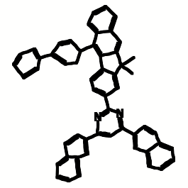 CC1(C)c2cc(-c3nc(-c4ccc5ccccc5c4)cc(-c4ccc5ccccc5c4)n3)ccc2-c2c1cc1ccccc1c2C1C=CC(c2ccccc2)=CC1